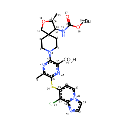 Cc1nc(N2CCC3(CC2)CO[C@@H](C)[C@H]3NC(=O)OC(C)(C)C)c(C(=O)O)nc1Sc1ccn2ccnc2c1Cl